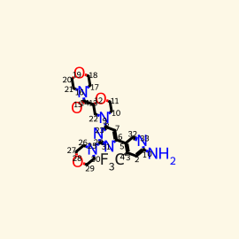 Nc1cc(C(F)(F)F)c(-c2cc(N3CCOC(C(=O)N4CCOCC4)C3)nc(N3CCOCC3)n2)cn1